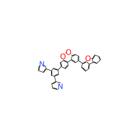 c1cncc(-c2cc(-c3cccnc3)cc(-c3ccc4c(c3)OCOc3ccc(-c5cccc6c5oc5ccccc56)cc3-4)c2)c1